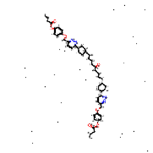 CCCC(=O)Oc1ccc(OCc2ccc(C3CCC(CCCCC(=O)CCCC[C@H]4CC[C@H](c5ccc(COc6ccc(OC(=O)CCC)cc6)nn5)CC4)CC3)nn2)cc1